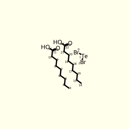 Br[Te]Br.CCCCCCCCC(=O)O.CCCCCCCCC(=O)O